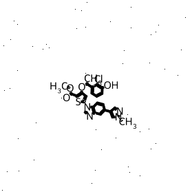 COC(=O)c1sc(-n2cnc3cc(-c4cnn(C)c4)ccc32)cc1OC(C)c1cccc(O)c1Cl